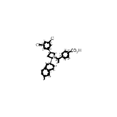 Cc1ccc2cc([C@H]3C[C@@H](c4cc(Cl)cc(Cl)c4)CN3C(C)c3ccc(C(=O)O)cc3)ccc2c1